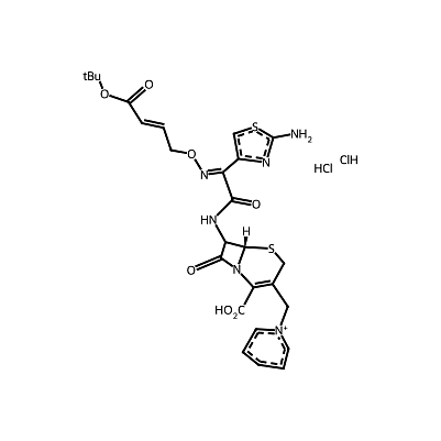 CC(C)(C)OC(=O)C=CCON=C(C(=O)NC1C(=O)N2C(C(=O)O)=C(C[n+]3ccccc3)CS[C@@H]12)c1csc(N)n1.Cl.Cl